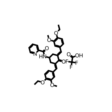 CCOc1ccc(/C=C2\CC(NC(=O)c3ccccn3)C/C(=C\c3ccc(OCC)c(OC)c3)C2=O)cc1OC.O=C(O)C(F)(F)F